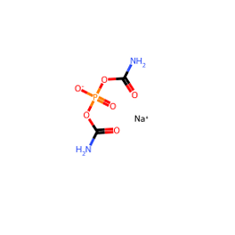 NC(=O)OP(=O)([O-])OC(N)=O.[Na+]